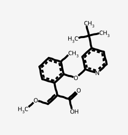 CO/C=C(/C(=O)O)c1cccc(C)c1Oc1cc(C(C)(C)C)ccn1